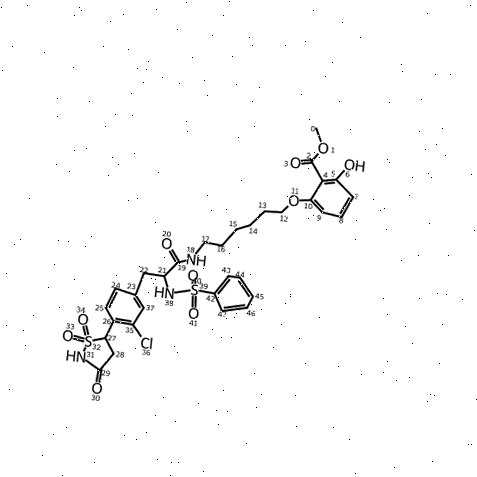 COC(=O)c1c(O)cccc1OCCCCCCNC(=O)C(Cc1ccc(C2CC(=O)NS2(=O)=O)c(Cl)c1)NS(=O)(=O)c1ccccc1